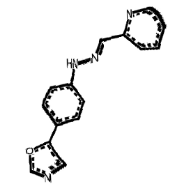 C(=NNc1ccc(-c2cnco2)cc1)c1ccccn1